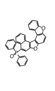 O=P(c1ccccc1)(c1ccccc1)c1cc2oc3ccc4oc5ccccc5c4c3c2c2ccccc12